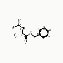 C[C@H](NC(F)F)C(=O)OCc1ccccc1